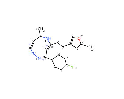 CC1/C=C\N/N=C(C2CCC(F)CC2)\C=C(/CCC2=COC(C)C2)N1